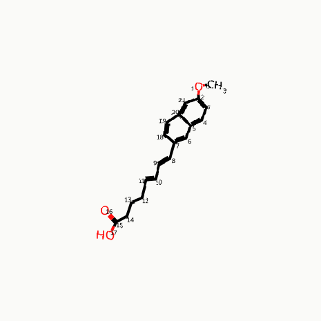 COc1ccc2cc(/C=C/C=C/CCCC(=O)O)ccc2c1